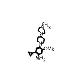 COc1cc(N)c(C2CC2)cc1N1CCC(N2CCN(C)CC2)CC1